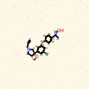 C#CCN1CCC(OC)(c2cc(F)cc(Sc3ccc(/C(C)=N/O)cc3)c2)C1